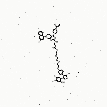 C=CC(=O)N1CCN(c2nc(NCCC(=O)NCCOCCOCCOc3ccc(-n4c(O)nnc4-c4cc(CC)c(O)cc4O)cc3)nc3c2CCN(c2cc(O)cc4ccccc24)C3)CC1